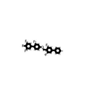 Fc1cc(OCc2c(F)cc(-c3ccccc3)cc2F)ccc1-c1cc(F)c(F)c(F)c1